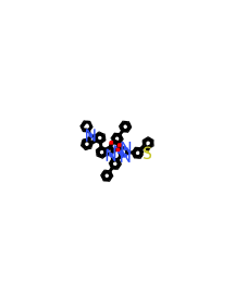 C1=CCCC(n2c3ccccc3c3c(-c4cccc5c4c4ccccc4n5-c4cc(-c5ccccc5)ccc4-c4nc(-c5cccc(-c6ccccc6)c5)nc(-c5ccc6sc7ccccc7c6c5)n4)cccc32)=C1